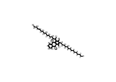 CCCCCCCCCCCCCCCc1c(C)c2c(c(C(C)CCCCCCCCCCCCCC)c1C)C(=O)c1ccccc1C2=O